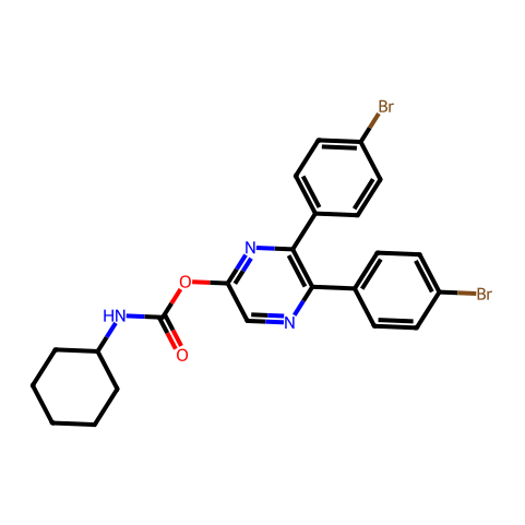 O=C(NC1CCCCC1)Oc1cnc(-c2ccc(Br)cc2)c(-c2ccc(Br)cc2)n1